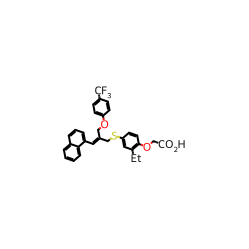 CCc1cc(SCC(=Cc2cccc3ccccc23)COc2ccc(C(F)(F)F)cc2)ccc1OCC(=O)O